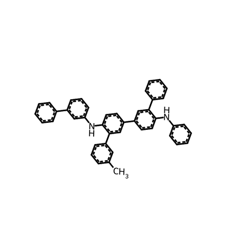 Cc1cccc(-c2cc(-c3ccc(Nc4ccccc4)c(-c4ccccc4)c3)ccc2Nc2cccc(-c3ccccc3)c2)c1